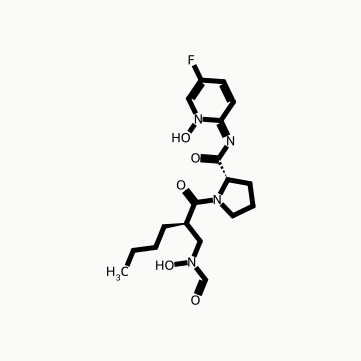 CCCC[C@H](CN(O)C=O)C(=O)N1CCC[C@H]1C(=O)N=c1ccc(F)cn1O